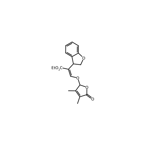 CCOC(=O)/C(=C/OC1OC(=O)C(C)=C1C)C1COc2ccccc21